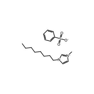 CCCCCCCCn1cc[n+](C)c1.O=S(=O)([O-])c1ccccc1